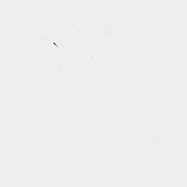 CC(=N)N1C(=N)[C@H](C)N=C(c2ccc(Cl)cc2)c2c1sc(C#Cc1cncn1C)c2C